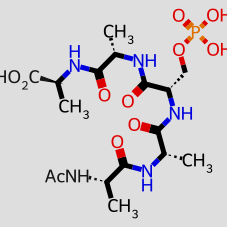 CC(=O)N[C@@H](C)C(=O)N[C@@H](C)C(=O)N[C@@H](COP(=O)(O)O)C(=O)N[C@@H](C)C(=O)N[C@@H](C)C(=O)O